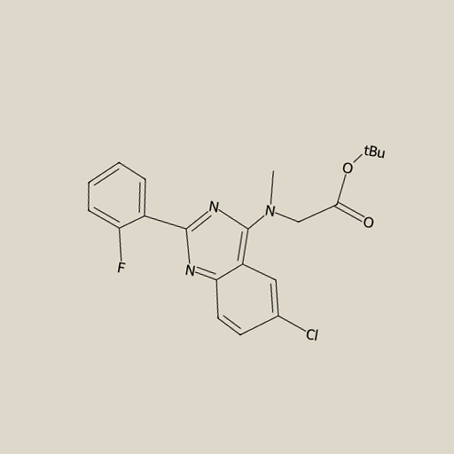 CN(CC(=O)OC(C)(C)C)c1nc(-c2ccccc2F)nc2ccc(Cl)cc12